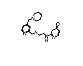 O=C1C=CN=C(NCCSCc2cc(CN3CCCCC3)ccn2)C1